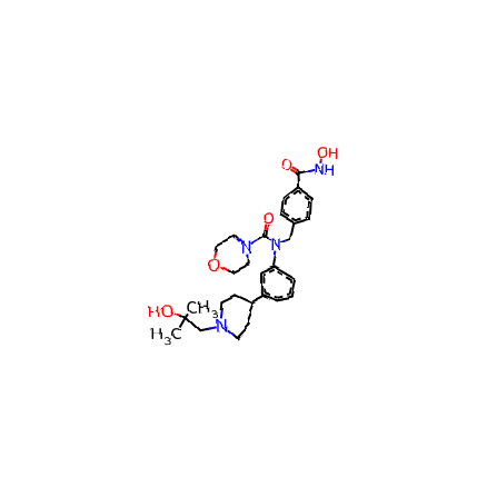 CC(C)(O)CN1CCC(c2cccc(N(Cc3ccc(C(=O)NO)cc3)C(=O)N3CCOCC3)c2)CC1